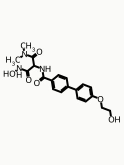 CN(C)C(=O)C(NC(=O)c1ccc(-c2ccc(OCCO)cc2)cc1)C(=O)NO